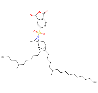 CCC(C)CCCCCCCCCC(C)CCCCC1C2CC(C1CCCCCC(C)CCCC(C)C)C1(C2)C(C)N1S(=O)(=O)c1ccc2c(c1)C(=O)OC2=O